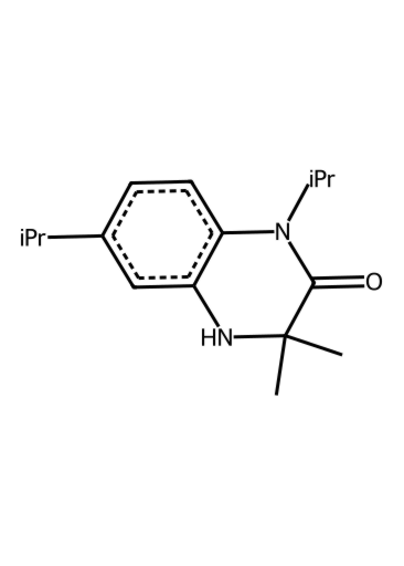 CC(C)c1ccc2c(c1)NC(C)(C)C(=O)N2C(C)C